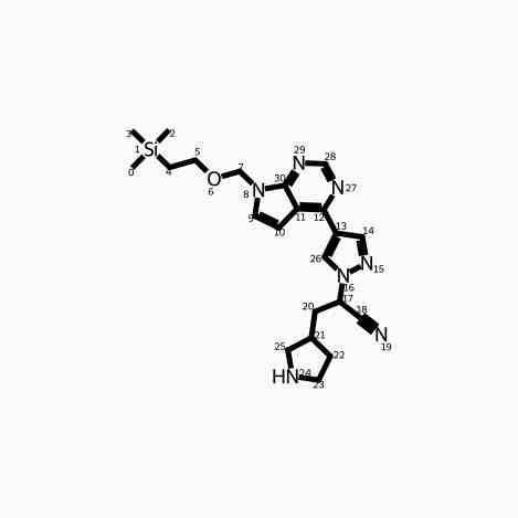 C[Si](C)(C)CCOCn1ccc2c(-c3cnn(C(C#N)CC4CCNC4)c3)ncnc21